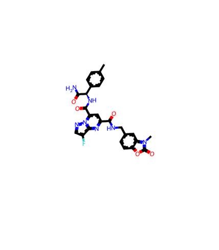 Cc1ccc([C@@H](NC(=O)c2cc(C(=O)NCc3ccc4oc(=O)n(C)c4c3)nc3c(F)cnn23)C(N)=O)cc1